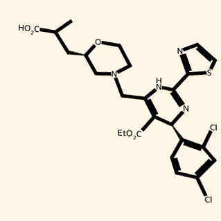 CCOC(=O)C1=C(CN2CCO[C@H](CC(C)C(=O)O)C2)NC(c2nccs2)=N[C@H]1c1ccc(Cl)cc1Cl